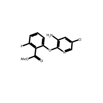 COC(=O)c1c(F)cccc1Oc1ncc(Cl)cc1N